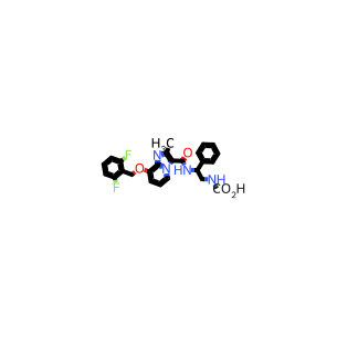 Cc1nc2c(OCc3c(F)cccc3F)cccn2c1C(=O)NC(CNC(=O)O)c1ccccc1